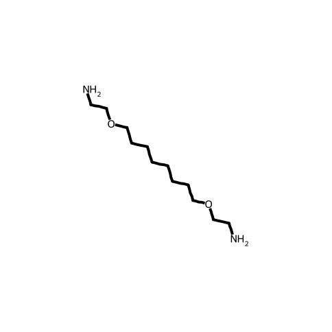 NCCOCCCCCCCCOCCN